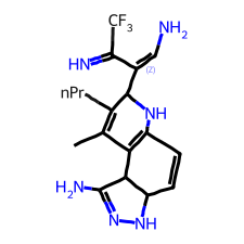 CCCC1=C(C)C2=C(C=CC3NN=C(N)C23)NC1/C(=C/N)C(=N)C(F)(F)F